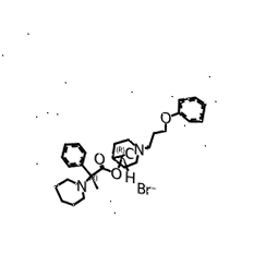 C[C@](C(=O)O[C@H]1C[N+]2(CCCOc3ccccc3)CCC1CC2)(c1ccccc1)N1CCCCC1.[Br-]